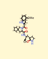 C#CC(CC1CCNC1=O)NC(=O)C1CC2(CCCC2)CN1C(=O)c1cc2c(OC)cccc2[nH]1